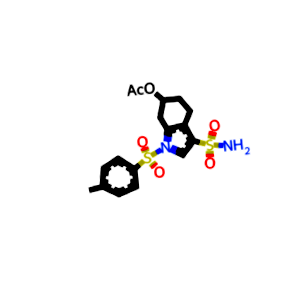 CC(=O)OC1CCc2c(S(N)(=O)=O)cn(S(=O)(=O)c3ccc(C)cc3)c2C1